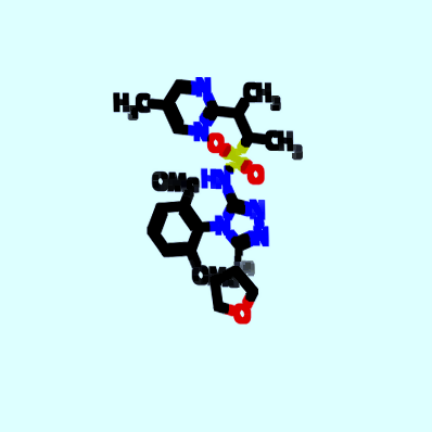 COc1cccc(OC)c1-n1c(NS(=O)(=O)C(C)C(C)c2ncc(C)cn2)nnc1[C@H]1CCOC1